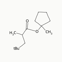 CC(CC(C)(C)C)C(=O)OC1(C)CCCC1